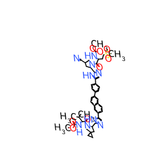 COC(=O)NC(CCS(C)(=O)=O)C(=O)N1CC(C#N)CC1c1ncc(-c2ccc(-c3ccc4cc(-c5cnc(C6CC7(CC7)CN6C(=O)C(NC(=O)OC)C(C)C)[nH]5)ccc4c3)cc2)[nH]1